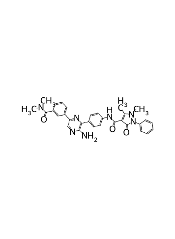 Cc1c(C(=O)Nc2ccc(-c3nc(-c4cccc(C(=O)N(C)C)c4)cnc3N)cc2)c(=O)n(-c2ccccc2)n1C